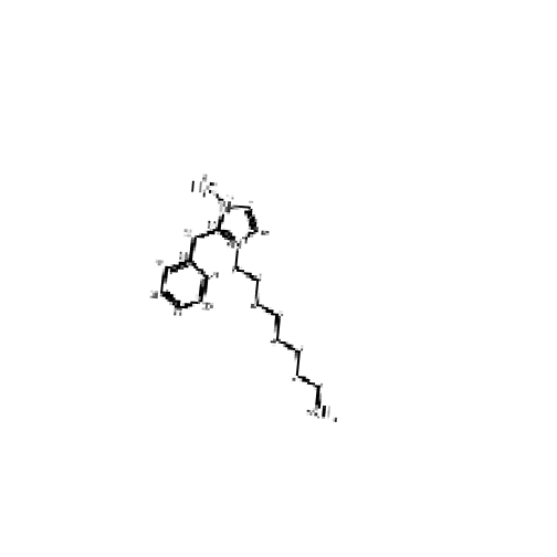 CCCCCCCCC[n+]1ccn(C)c1Cc1ccccc1